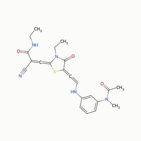 CCNC(=O)C(=C=c1sc(=C=CNc2cccc(N(C)C(C)=O)c2)c(=O)n1CC)C#N